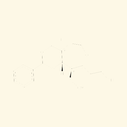 CCCCO[C@@H]1[C@@H]([C@@H](O)CO)OCO[C@@H]2COC(c3ccccc3)O[C@@H]12